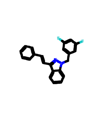 Fc1cc(F)cc(Cn2nc(C=Cc3ccccc3)c3ccccc32)c1